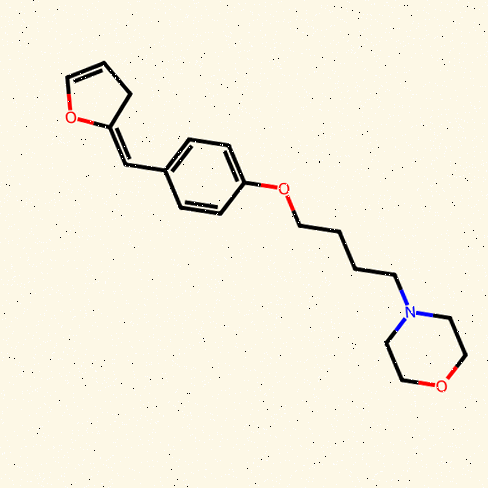 C1=COC(=Cc2ccc(OCCCCN3CCOCC3)cc2)C1